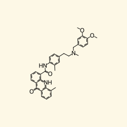 COc1ccc(CN(C)CCc2ccc(NC(=O)c3cccc4c(=O)c5cccc(C)c5[nH]c34)c(C)c2)cc1OC